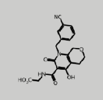 N#Cc1cccc(Cn2c3c(c(O)c(C(=O)NCC(=O)O)c2=O)CCOC3)c1